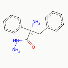 NNC(=O)[C@](N)(Cc1ccccc1)c1ccccc1